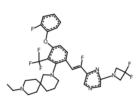 CCN1CCC2(CCCN(c3c(/C=C(\F)c4cncc(N5CC(F)(F)C5)n4)ccc(Oc4ccccc4F)c3C(F)(F)F)C2)CC1